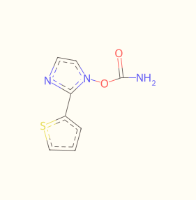 NC(=O)On1ccnc1-c1cccs1